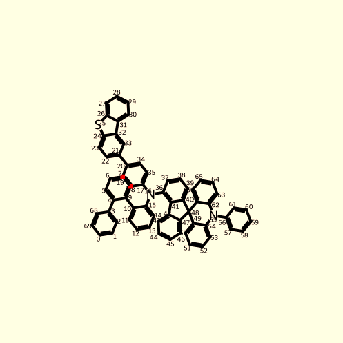 c1ccc(-c2ccccc2-c2ccccc2N(c2ccc(-c3ccc4sc5ccccc5c4c3)cc2)c2cccc3c2-c2ccccc2C32c3ccccc3N(c3ccccc3)c3ccccc32)cc1